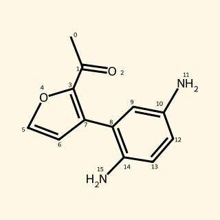 CC(=O)c1occc1-c1cc(N)ccc1N